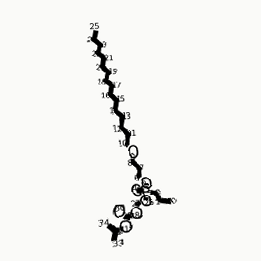 C=CCP(=O)(OCCCOCCCCCCCCCCCCCCCC)OCOC(=O)OC(C)C